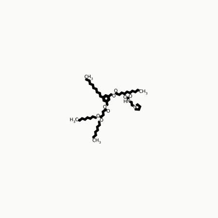 C[CH]CCCCCCCCc1cc(COC(=O)CCC(CCCCCC)OC(=O)NCCN2CCCC2)cc(COC(=O)CCC(OCCCCCCCC)OCCCCCCCC)c1